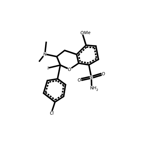 COc1ccc(S(N)(=O)=O)c2c1CC(N(C)C)C(I)(c1ccc(Cl)cc1)O2